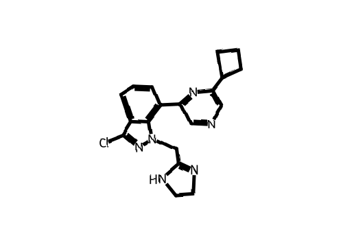 Clc1nn(CC2=NCCN2)c2c(-c3cncc(C4CCC4)n3)cccc12